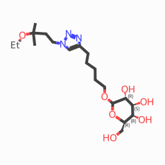 CCOC(C)(C)CCn1cc(CCCCCOC2O[C@H](CO)[C@H](O)[C@H](O)[C@H]2O)nn1